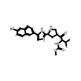 COC(=O)NC(C(=O)C1CNC(c2ncc(-c3ccc4cc(Br)ccc4c3)[nH]2)C1)C(C)C